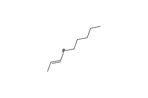 CC=C[P]CCCCC